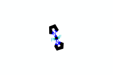 FC(F)(n1cccc1)n1cccc1